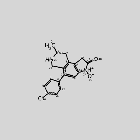 CC1Cc2c(c(-c3ccc(Cl)cc3)cc3c2CC(=O)[NH+]3[O-])CN1